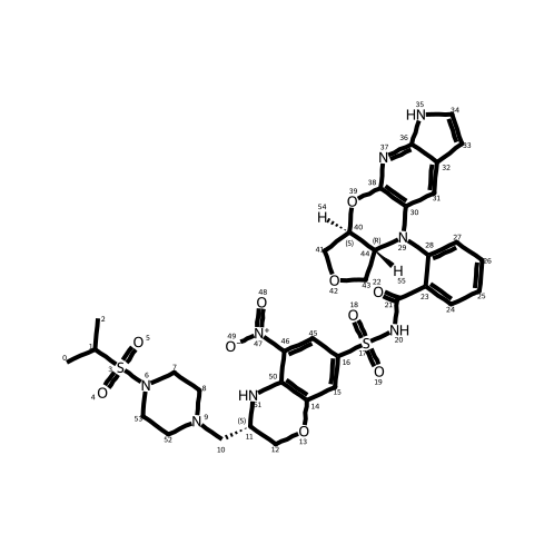 CC(C)S(=O)(=O)N1CCN(C[C@H]2COc3cc(S(=O)(=O)NC(=O)c4ccccc4N4c5cc6cc[nH]c6nc5O[C@@H]5COC[C@H]54)cc([N+](=O)[O-])c3N2)CC1